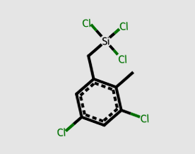 Cc1c(Cl)cc(Cl)cc1C[Si](Cl)(Cl)Cl